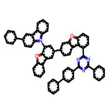 c1ccc(-c2ccc(-c3nc(-c4ccccc4)nc(-c4cccc5oc6cc(-c7cc(-n8c9ccccc9c9cc(-c%10ccccc%10)ccc98)c8oc9ccccc9c8c7)ccc6c45)n3)cc2)cc1